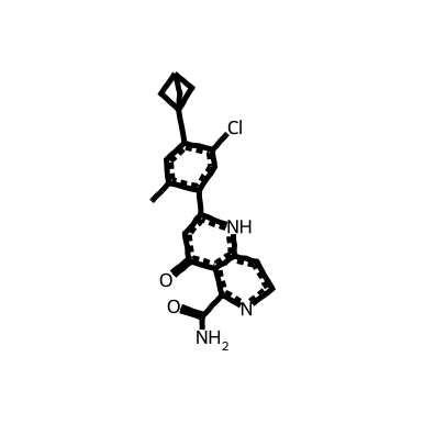 Cc1cc(C23CC(C2)C3)c(Cl)cc1-c1cc(=O)c2c(C(N)=O)nccc2[nH]1